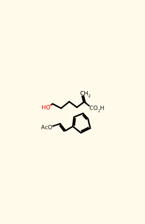 C=C(CCCCO)C(=O)O.CC(=O)OC=Cc1ccccc1